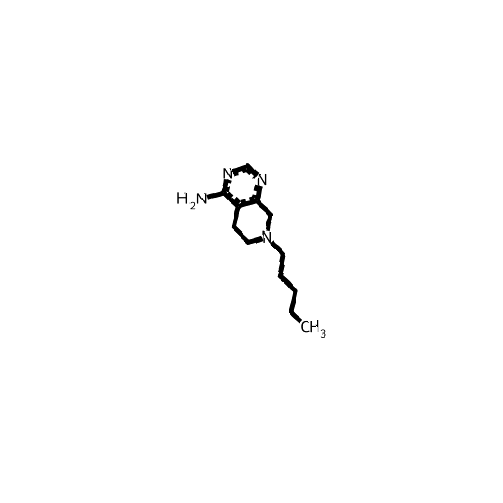 CCCCCN1CCc2c(N)ncnc2C1